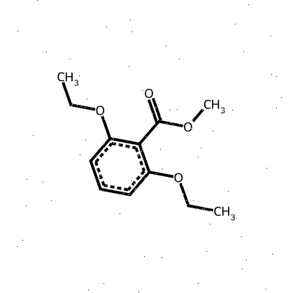 CCOc1cccc(OCC)c1C(=O)OC